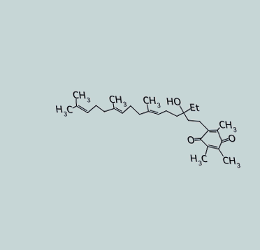 CCC(O)(CC/C=C(\C)CC/C=C(\C)CCC=C(C)C)CCC1=C(C)C(=O)C(C)=C(C)C1=O